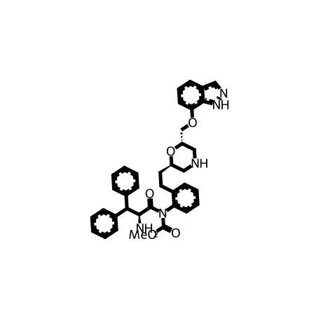 COC(=O)N(C(=O)[C@@H](N)C(c1ccccc1)c1ccccc1)c1ccccc1CC[C@@H]1CNC[C@@H](COc2cccc3cn[nH]c23)O1